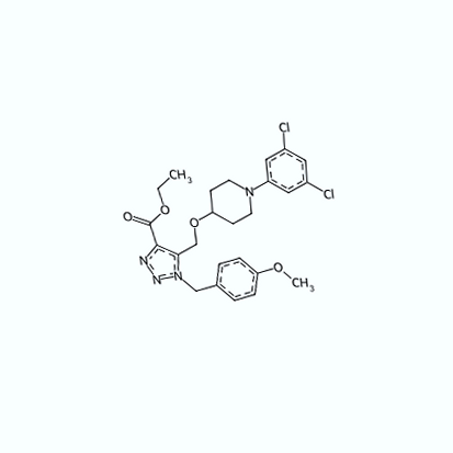 CCOC(=O)c1nnn(Cc2ccc(OC)cc2)c1COC1CCN(c2cc(Cl)cc(Cl)c2)CC1